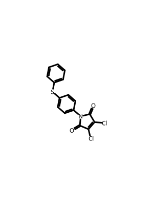 O=C1C(Cl)=C(Cl)C(=O)N1c1ccc(Sc2ccccc2)cc1